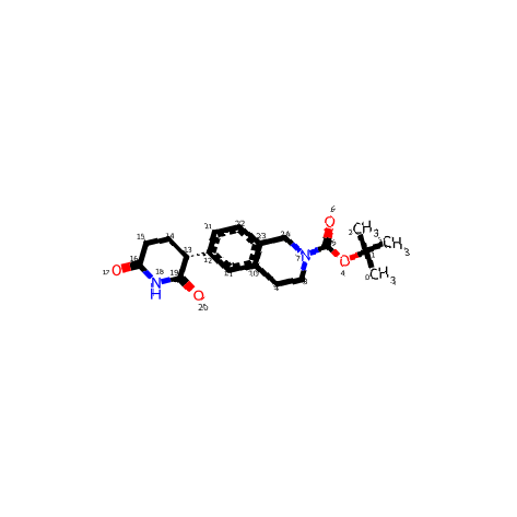 CC(C)(C)OC(=O)N1CCc2cc([C@H]3CCC(=O)NC3=O)ccc2C1